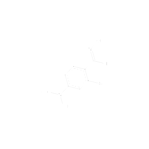 CC(=O)c1cc(N(C)C)ccc1C(Cl)=NO